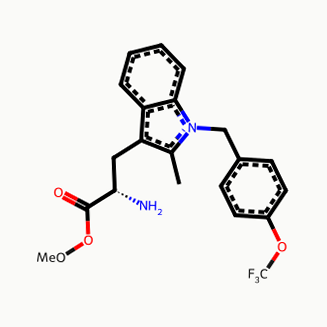 COOC(=O)[C@@H](N)Cc1c(C)n(Cc2ccc(OC(F)(F)F)cc2)c2ccccc12